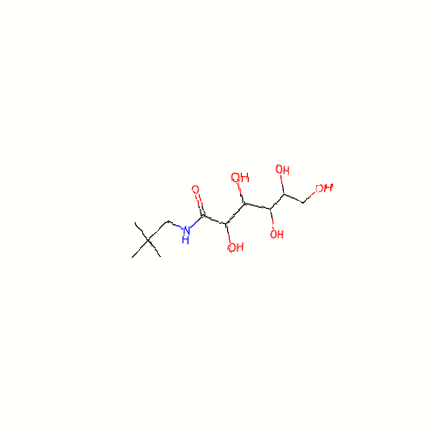 CC(C)(C)CNC(=O)C(O)C(O)C(O)C(O)CO